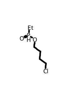 CC[PH](=O)OCCCCCl